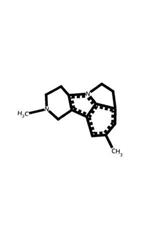 Cc1cc2c3c(c1)c1c(n3CC2)CCN(C)C1